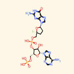 Nc1nc2c(ncn2[C@H]2CC[C@@](F)(COP(=O)(O)O[C@H]3[C@@H](O)[C@H](n4cnc5c(N)ncnc54)O[C@@H]3COP(=O)(O)O)O2)c(=O)[nH]1